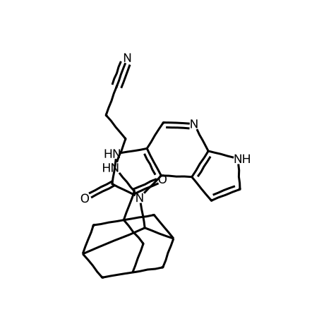 N#CCCNC(=O)C12CC3CC(C1)C(n1c(=O)[nH]c4cnc5[nH]ccc5c41)C(C3)C2